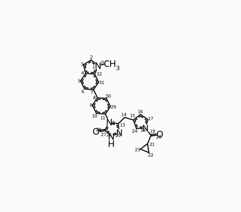 Cn1ccc2ccc(-c3ccc(-n4c(Cc5ccn(C(=O)C6CC6)c5)n[nH]c4=O)cc3)cc21